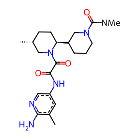 CNC(=O)N1CCCC([C@@H]2CC[C@@H](C)CN2C(=O)C(=O)Nc2cnc(N)c(C)c2)C1